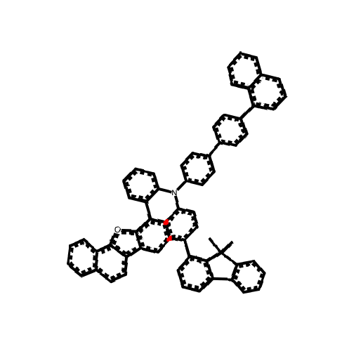 CC1(C)c2ccccc2-c2cccc(-c3ccc(N(c4ccc(-c5ccc(-c6cccc7ccccc67)cc5)cc4)c4ccccc4-c4cccc5c4oc4c6ccccc6ccc54)cc3)c21